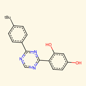 CC(C)(C)c1ccc(-c2ncnc(-c3ccc(O)cc3O)n2)cc1